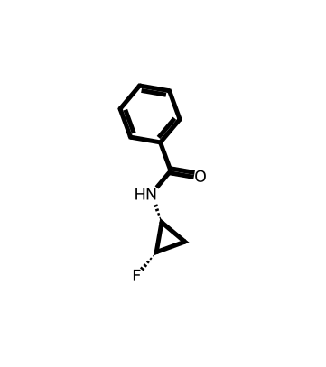 O=C(N[C@@H]1C[C@@H]1F)c1ccccc1